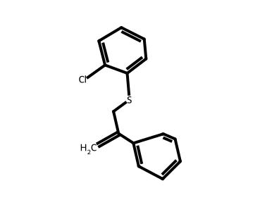 C=C(CSc1ccccc1Cl)c1ccccc1